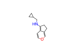 C1=CC2=C(NCC3CC3)CCC2=CO1